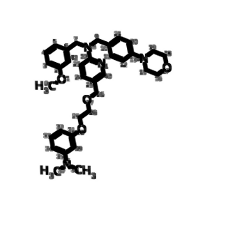 COc1cccc(CN(Cc2ccc(N3CCOCC3)cc2)c2ccc(COCCOc3cccc(N(C)C)c3)cn2)c1